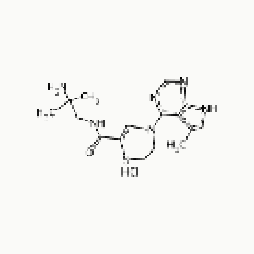 Cc1c[nH]c2ncnc(N3C=C(C(=O)NCC(C)(C)N)SCC3)c12.Cl